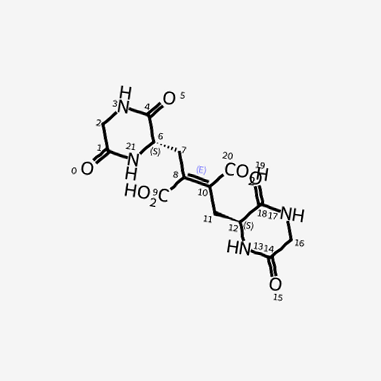 O=C1CNC(=O)[C@H](C/C(C(=O)O)=C(/C[C@@H]2NC(=O)CNC2=O)C(=O)O)N1